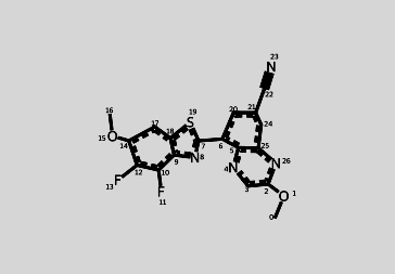 COc1cnc2c(-c3nc4c(F)c(F)c(OC)cc4s3)cc(C#N)cc2n1